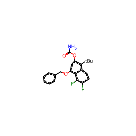 CC(C)(C)c1c(OC(N)=O)cc(OCc2ccccc2)c2c(F)c(F)ccc12